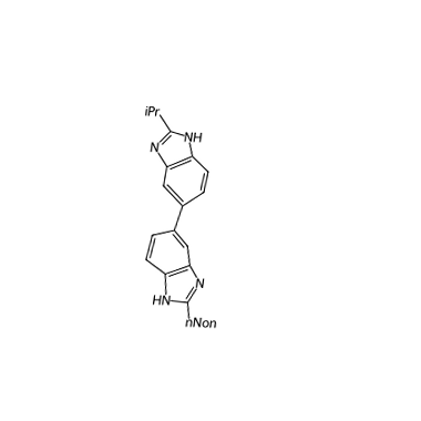 CCCCCCCCCc1nc2cc(-c3ccc4[nH]c(C(C)C)nc4c3)ccc2[nH]1